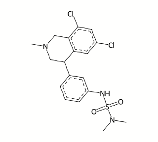 CN1Cc2c(Cl)cc(Cl)cc2C(c2cccc(NS(=O)(=O)N(C)C)c2)C1